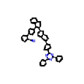 N#Cc1ccccc1-c1ccc(-c2c(-c3ccc4cc(-c5ccc(-c6nc(-c7ccccc7)nc(-c7ccccc7)n6)cc5)ccc4c3)ccc3ccccc23)cc1